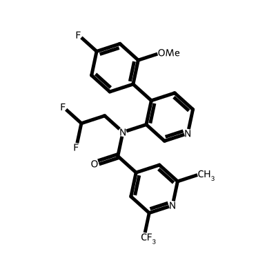 COc1cc(F)ccc1-c1ccncc1N(CC(F)F)C(=O)c1cc(C)nc(C(F)(F)F)c1